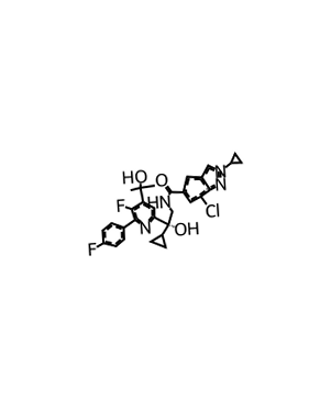 CC(C)(O)c1cc([C@@](O)(CNC(=O)c2cc(Cl)c3nn(C4CC4)cc3c2)C2CC2)nc(-c2ccc(F)cc2)c1F